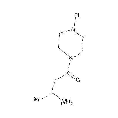 CCN1CCN(C(=O)CC(N)C(C)C)CC1